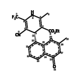 [C-]#[N+]C1=C(C(F)(F)F)NC(C)=C(C(=O)OCC)[C@@H]1c1cccc2c(=O)cc(C)oc12